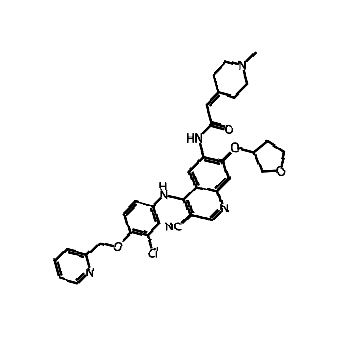 CN1CCC(=CC(=O)Nc2cc3c(Nc4ccc(OCc5ccccn5)c(Cl)c4)c(C#N)cnc3cc2OC2CCOC2)CC1